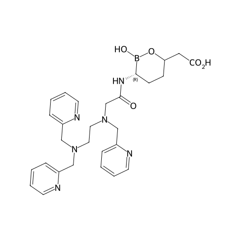 O=C(O)CC1CC[C@H](NC(=O)CN(CCN(Cc2ccccn2)Cc2ccccn2)Cc2ccccn2)B(O)O1